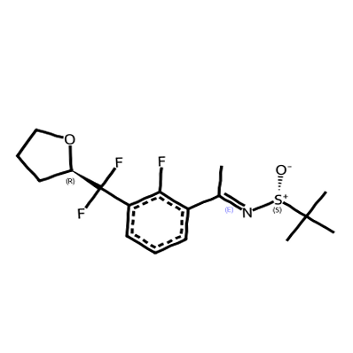 C/C(=N\[S@+]([O-])C(C)(C)C)c1cccc(C(F)(F)[C@H]2CCCO2)c1F